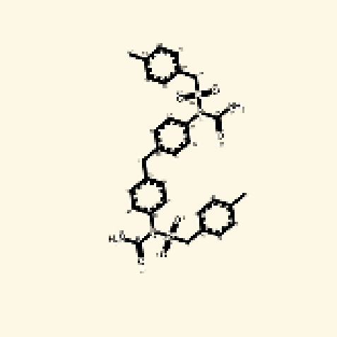 Cc1ccc(CS(=O)(=O)N(C(N)=O)c2ccc(Cc3ccc(N(C(N)=O)S(=O)(=O)Cc4ccc(C)cc4)cc3)cc2)cc1